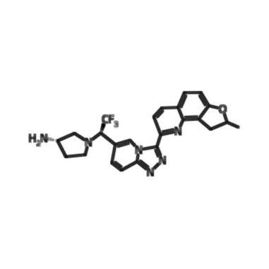 CC1Cc2c(ccc3ccc(-c4nnc5ccc([C@@H](N6CC[C@H](N)C6)C(F)(F)F)cn45)nc23)O1